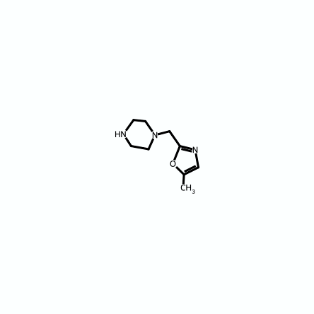 Cc1cnc(CN2CCNCC2)o1